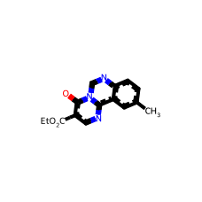 CCOC(=O)c1cnc2c3cc(C)ccc3ncn2c1=O